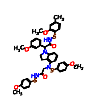 COc1ccc(SNC(=O)CN(Sc2ccc(OC)cc2)c2cccc3c2CCN3C(C(=O)NSc2ccc(C)cc2OC)c2cccc(OC)c2)cc1